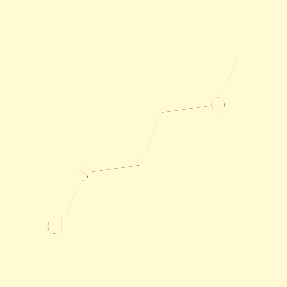 COCCSCl